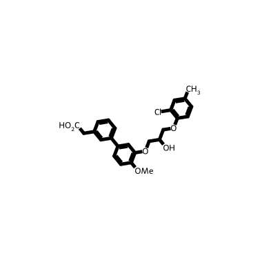 COc1ccc(-c2cccc(CC(=O)O)c2)cc1OCC(O)COc1ccc(C)cc1Cl